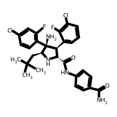 CC(C)(C)C[C@@H]1N[C@@H](C(=O)Nc2ccc(C(N)=O)cc2)[C@H](c2cccc(Cl)c2F)[C@@]1(N)c1ccc(Cl)cc1F